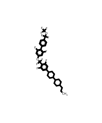 CCCC1CCC(C2CCC(c3cc(F)c(C(F)(F)Oc4cc(F)c(-c5ccc(C(F)(F)OC(F)(F)F)cc5)c(F)c4)c(F)c3)CC2)CC1